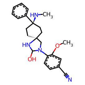 CN[C@]1(c2ccccc2)CC[C@]2(CC1)CN(c1ccc(C#N)cc1OC)C(O)N2